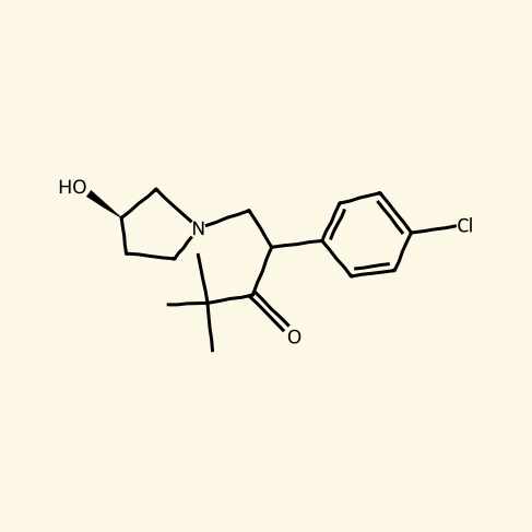 CC(C)(C)C(=O)C(CN1CC[C@@H](O)C1)c1ccc(Cl)cc1